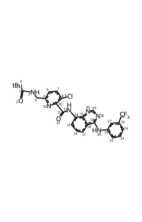 CC(C)(C)C(=O)NCc1ccc(Cl)c(C(=O)Nc2cccc3c(Nc4cccc(C(F)(F)F)c4)ncnc23)n1